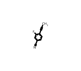 CC#Cc1ccc(C#N)cc1F